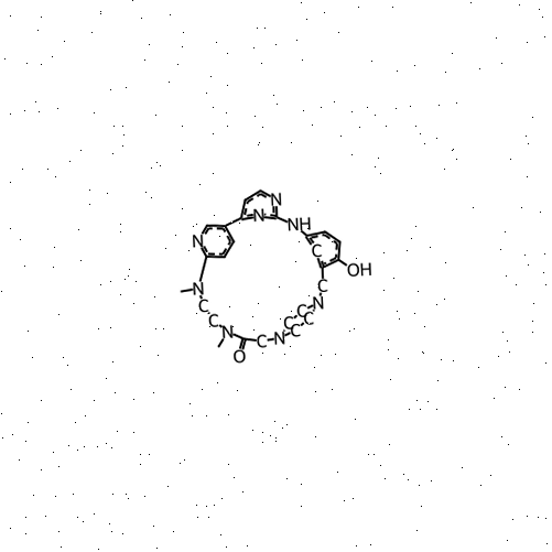 CN1CCN(C)c2ccc(cn2)-c2ccnc(n2)Nc2ccc(O)c(c2)CN2CCN(CC2)CC1=O